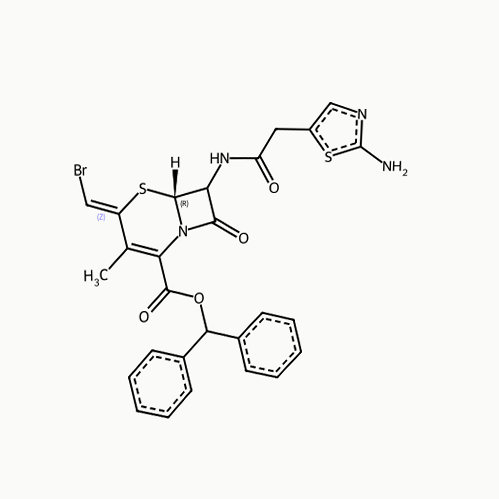 CC1=C(C(=O)OC(c2ccccc2)c2ccccc2)N2C(=O)C(NC(=O)Cc3cnc(N)s3)[C@H]2S/C1=C\Br